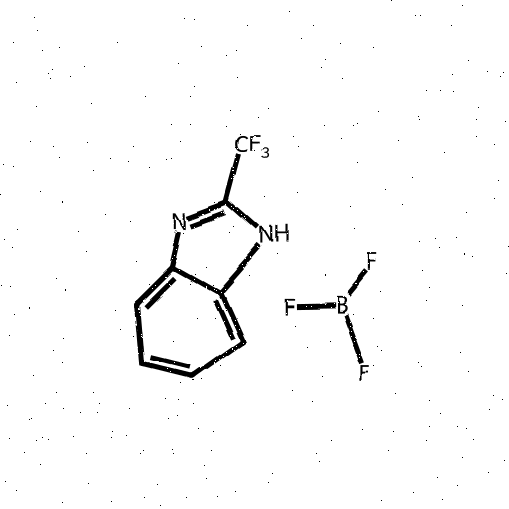 FB(F)F.FC(F)(F)c1nc2ccccc2[nH]1